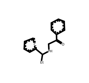 CCC(PCC(=O)c1ccccc1)c1ccccc1